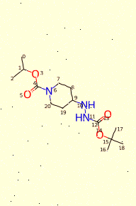 CC(C)OC(=O)N1CCC(NNC(=O)OC(C)(C)C)CC1